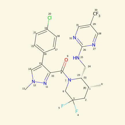 C[C@@H]1CC(F)(F)CN(C(=O)c2nn(C)cc2-c2ccc(Cl)cc2)[C@@H]1CNc1ncc(C(F)(F)F)cn1